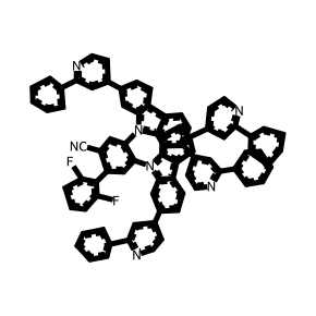 N#Cc1cc(-n2c3cc(-c4ccnc(-c5ccccc5)c4)ccc3c3ccc(-c4ccnc(-c5ccccc5)c4)cc32)c(-n2c3ccc(-c4ccnc(-c5ccccc5)c4)cc3c3ccc(-c4ccnc(-c5ccccc5)c4)cc32)cc1-c1c(F)cccc1F